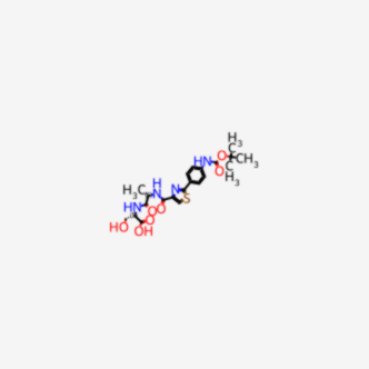 C[C@H](NC(=O)c1csc(-c2ccc(NC(=O)OC(C)(C)C)cc2)n1)C(=O)N[C@@H](CO)C(=O)O